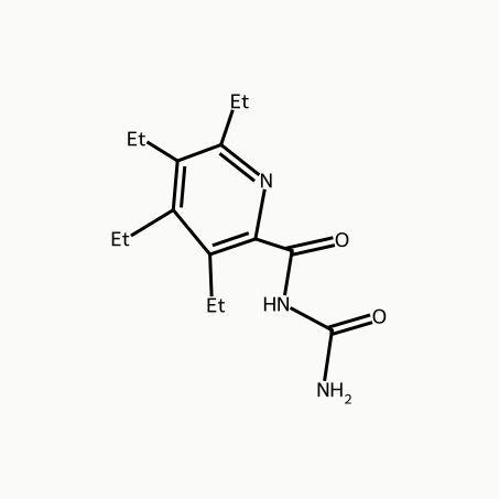 CCc1nc(C(=O)NC(N)=O)c(CC)c(CC)c1CC